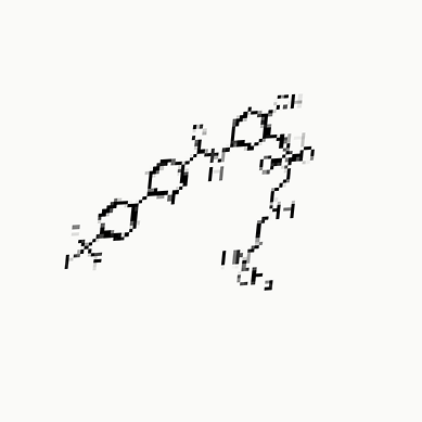 CNCCNCCS(=O)(=O)Nc1cc(NC(=O)c2ccc(-c3ccc(C(F)(F)F)cc3)nc2)ccc1O